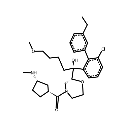 CCc1cccc(-c2c(Cl)cccc2[C@](O)(CCCCOC)[C@H]2CN(C(=O)[C@@H]3CC[C@H](NC)C3)CCO2)c1